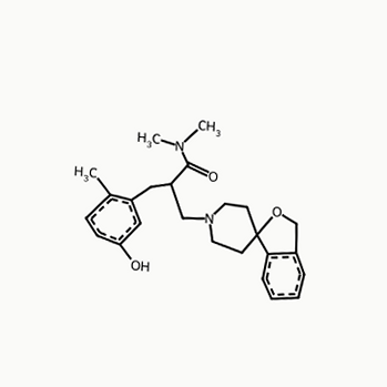 Cc1ccc(O)cc1CC(CN1CCC2(CC1)OCc1ccccc12)C(=O)N(C)C